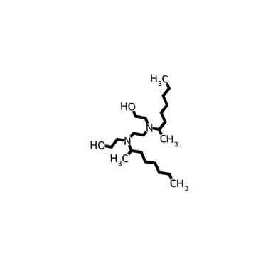 CCCCCCC(C)N(CCO)CCN(CCO)C(C)CCCCCC